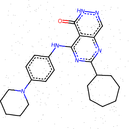 O=c1[nH]ncc2nc(C3CCCCCC3)nc(Nc3ccc(N4CCCCC4)cc3)c12